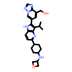 CC(C)c1c(-c2cc(CO)c3ncnn3c2)[nH]c2ccc(C3CCC(NC4COC4)CC3)nc12